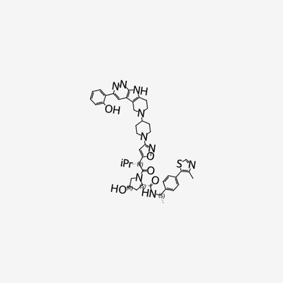 Cc1ncsc1-c1ccc([C@H](C)NC(=O)[C@@H]2C[C@@H](O)CN2C(=O)[C@@H](c2cc(N3CCC(N4CCc5[nH]c6nnc(-c7ccccc7O)cc6c5C4)CC3)no2)C(C)C)cc1